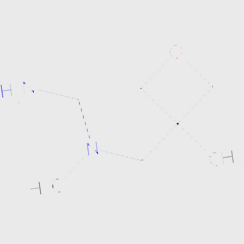 CN(CN)CC1(C)COC1